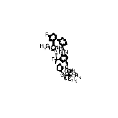 CN(Cc1cc(C(F)(F)F)c2[nH]c(-c3cccc(-c4ccc(F)cc4-c4nncn4C)c3)nc2c1)[C@@H]1CCCC1O[Si](C)(C)C(C)(C)C